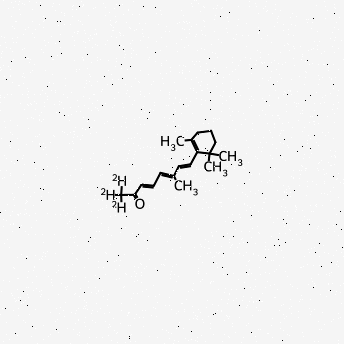 [2H]C([2H])([2H])C(=O)/C=C/C=C(C)/C=C/C1=C(C)CCCC1(C)C